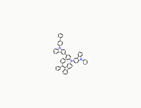 C1=CCCC(n2c3ccccc3c3cc(N(c4ccc(-c5ccc6c(c5)c5ccccc5n6-c5ccc(-c6ccccc6)cc5)cc4)c4ccc5c(c4)C(=C(c4ccccc4)c4ccccc4)c4ccccc4-5)ccc32)=C1